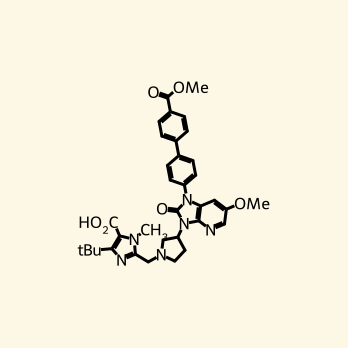 COC(=O)c1ccc(-c2ccc(-n3c(=O)n(C4CCN(Cc5nc(C(C)(C)C)c(C(=O)O)n5C)C4)c4ncc(OC)cc43)cc2)cc1